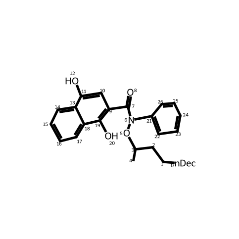 CCCCCCCCCCCCC(C)ON(C(=O)c1cc(O)c2ccccc2c1O)c1ccccc1